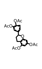 CC(=O)Oc1cc(OC(C)=O)c2c(c1)OC(c1ccc(OC(C)=O)c(OC(C)=O)c1)CC2